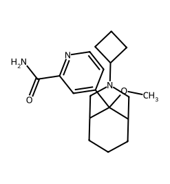 COC1(c2ccnc(C(N)=O)c2)C2CCCC1CN(C1CCC1)C2